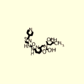 CC(C)CC(CO)N(Cc1cccc(NC(=O)Nc2csc(-c3ccncc3)n2)n1)C(=O)O